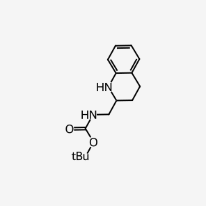 CC(C)(C)OC(=O)NCC1CCc2ccccc2N1